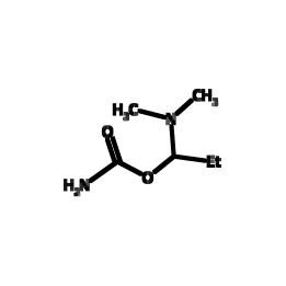 CCC(OC(N)=O)N(C)C